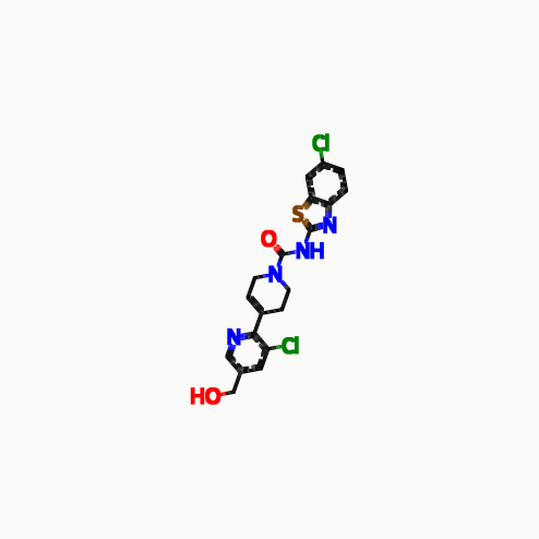 O=C(Nc1nc2ccc(Cl)cc2s1)N1CC=C(c2ncc(CO)cc2Cl)CC1